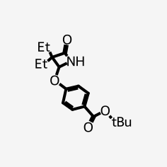 CCC1(CC)C(=O)NC1Oc1ccc(C(=O)OC(C)(C)C)cc1